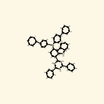 c1ccc(-c2ccc(N(c3ccc(-c4ccccc4)cc3)c3ccc(-c4nc(-c5ccccc5)nc(-c5ccccc5)n4)c4oc5ccccc5c34)cc2)cc1